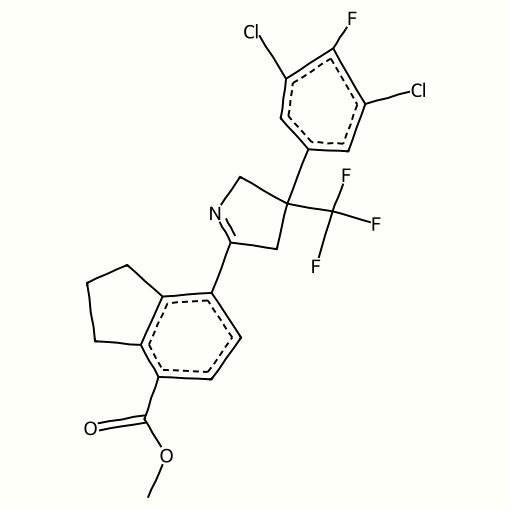 COC(=O)c1ccc(C2=NCC(c3cc(Cl)c(F)c(Cl)c3)(C(F)(F)F)C2)c2c1CCC2